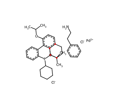 CC(C)Oc1cccc(OC(C)C)c1-c1ccccc1P(C1CCCCC1)C1CCCCC1.NCCc1ccccc1.[Cl-].[Cl-].[Pd+2]